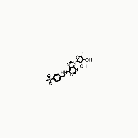 C[C@H]1O[C@@H](n2cnc3c(NCc4ccc(S(C)(=O)=O)cc4)ncnc32)[C@H](O)[C@@H]1O